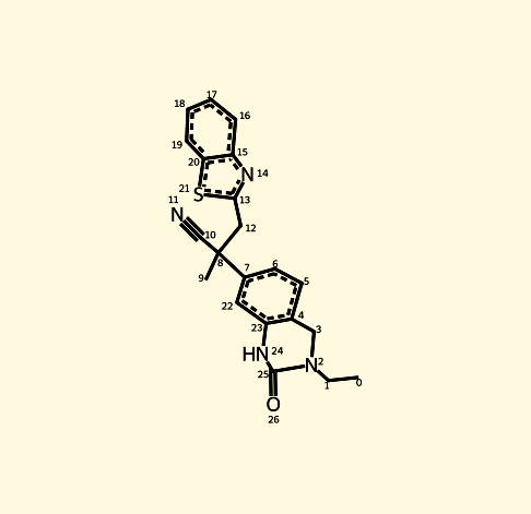 CCN1Cc2ccc(C(C)(C#N)Cc3nc4ccccc4s3)cc2NC1=O